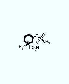 C[C@]1(C(=O)O)CCC[C@@H](OS(C)(=O)=O)C1